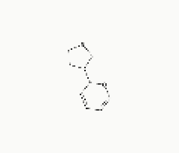 [C]1=CC(C2CCSC2)OC=C1